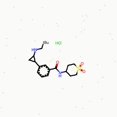 CC(C)(C)CNC1CC1c1cccc(C(=O)NC2CCS(=O)(=O)CC2)c1.Cl